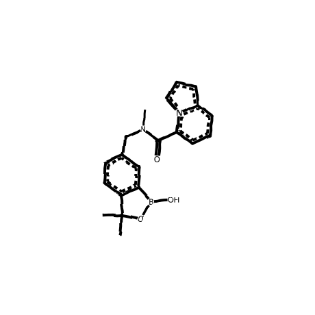 CN(Cc1ccc2c(c1)B(O)OC2(C)C)C(=O)c1cccc2cccn12